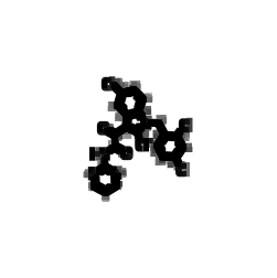 O=C(Nc1ncccn1)C(=O)c1c(C(F)(F)F)n(Cc2ccc(Cl)cc2Cl)c2ccc(Cl)cc12